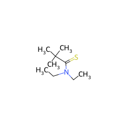 CCN(CC)C(=S)C(C)(C)C